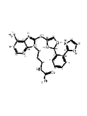 CC(C)C(=O)NCCCn1c(SC2=COC(c3ccccc3-c3ncco3)O2)nc2c(N)ncnc21